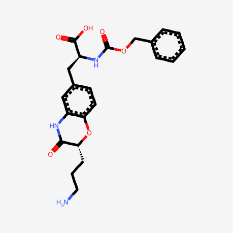 NCCC[C@H]1Oc2ccc(C[C@H](NC(=O)OCc3ccccc3)C(=O)O)cc2NC1=O